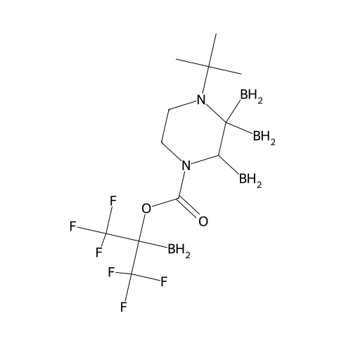 BC1N(C(=O)OC(B)(C(F)(F)F)C(F)(F)F)CCN(C(C)(C)C)C1(B)B